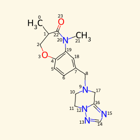 CC1COc2ccc(CN3CCn4ncnc4C3)cc2N(C)C1=O